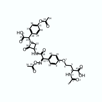 CC(=O)NC(CCOc1ccc(C(=NOC(C)=O)C(=O)NC2CN(C(C(=O)O)c3ccc(OC(C)=O)cc3)C2=O)cc1)C(=O)O